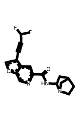 O=C(NC1CC2CCN1C2)c1cc2c(C#CC(F)F)coc2cn1